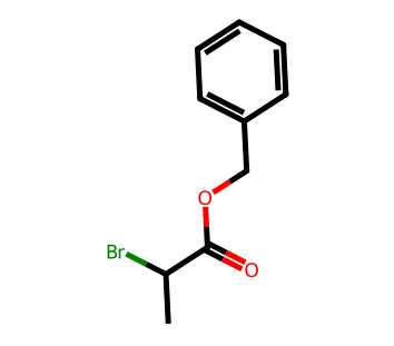 CC(Br)C(=O)OCc1ccccc1